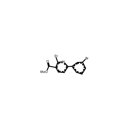 CCc1nc(-c2cccc(Br)c2)ccc1C(=O)OC